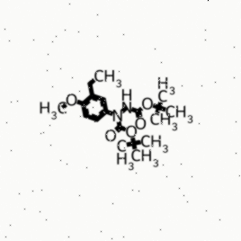 CCc1cc(N(NC(=O)OC(C)(C)C)C(=O)OC(C)(C)C)ccc1OC